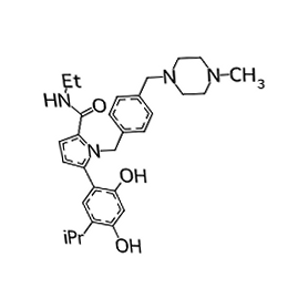 CCNC(=O)c1ccc(-c2cc(C(C)C)c(O)cc2O)n1Cc1ccc(CN2CCN(C)CC2)cc1